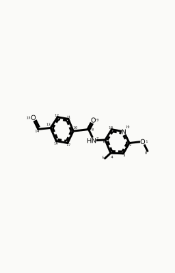 COc1cc(C)c(NC(=O)c2ccc(C=O)cc2)cn1